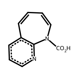 O=C(O)N1C=CC=Cc2cccnc21